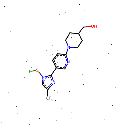 OCC1CCN(c2ccc(-c3nc(C(F)(F)F)cn3SF)cn2)CC1